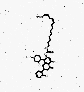 CCCCC/C=C\C/C=C\CCCCCCCCNC(=N)Oc1cc(O)c2c(c1C1CCN(C)C[C@@H]1O)CC(c1ccccc1Cl)CC2=O